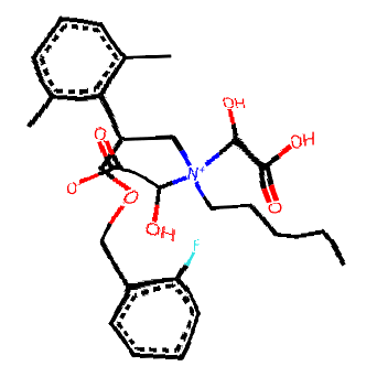 CCCCC[N+](CC(COCc1ccccc1F)c1c(C)cccc1C)(C(O)C(=O)[O-])C(O)C(=O)O